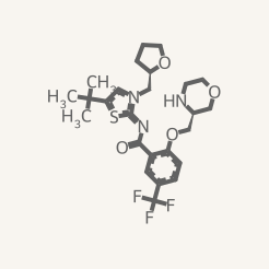 CC(C)(C)c1cn(C[C@H]2CCCO2)/c(=N/C(=O)c2cc(C(F)(F)F)ccc2OC[C@@H]2COCCN2)s1